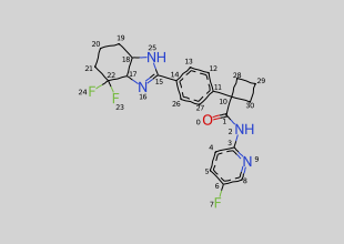 O=C(Nc1ccc(F)cn1)C1(c2ccc(C3=NC4C(CCCC4(F)F)N3)cc2)CCC1